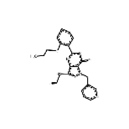 CCCOc1ccccc1-c1nc2c(NC=O)nn(Cc3cccnc3)c2c(=O)[nH]1